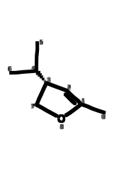 CC1=C[C@@H](C(C)C)CO1